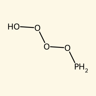 OOOOP